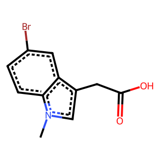 Cn1cc(CC(=O)O)c2cc(Br)ccc21